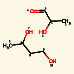 CC(O)C=O.CC(O)CCO